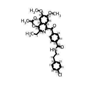 CCc1nc(C(=O)c2ccc(C(=O)NCCc3ccc(Cl)cc3)cc2)c2cc(OC)c(OC)cc2c1OC(C)=O